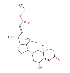 CCOC(=O)/C=C/[C@@H](C)[C@H]1CCC2C3C[C@@H](O)C4=CC(=O)CC[C@]4(C)C3CC[C@@]21C